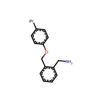 CC(C)c1ccc(OCc2ccccc2CN)cc1